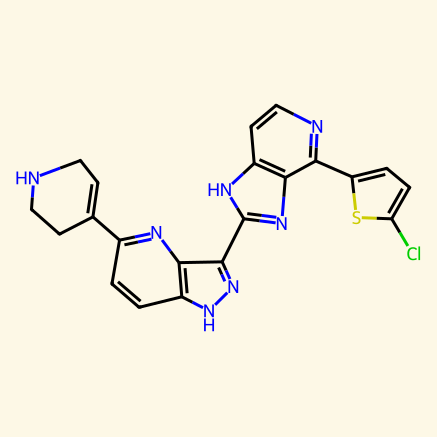 Clc1ccc(-c2nccc3[nH]c(-c4n[nH]c5ccc(C6=CCNCC6)nc45)nc23)s1